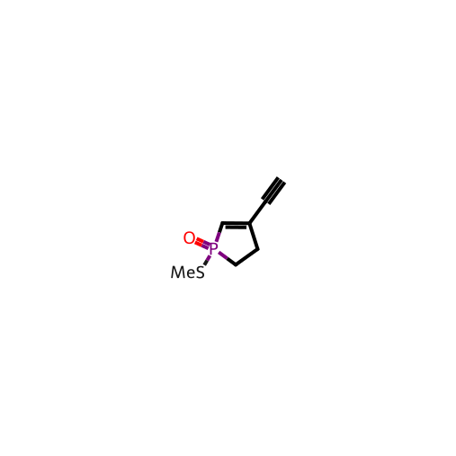 C#CC1=CP(=O)(SC)CC1